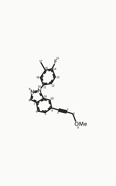 COCC#Cc1ccc2cnn(-c3ccc(F)c(C)c3)c2c1